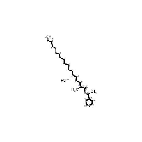 CCCCCCCCCCCCCCCC/C=C(\C)C(=O)OC(C)c1ccncc1.Cl